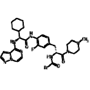 CCC(=O)N[C@H](Cc1ccc(NC(=O)[C@@H](Nc2nccn3nccc23)C2CCCCC2)c(F)c1)C(=O)N1CCN(C)CC1